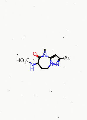 CC(=O)c1cc2n(n1)CCC(NC(=O)O)C(=O)N2C